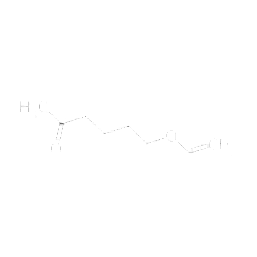 C=COCCCCC(C)=O